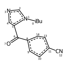 CCC(C)n1cncc1C(=O)c1ccc(C#N)cc1